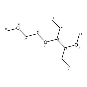 CCC(OC)C(CC)OCCOC